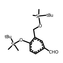 CC(C)(C)[Si](C)(C)OCc1cc(C=O)ccc1O[Si](C)(C)C(C)(C)C